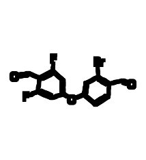 O=Cc1ccc(Oc2cc(F)c(C=O)c(F)c2)cc1Br